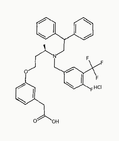 C[C@H](CCOc1cccc(CC(=O)O)c1)N(Cc1ccc(F)c(C(F)(F)F)c1)CC(c1ccccc1)c1ccccc1.Cl